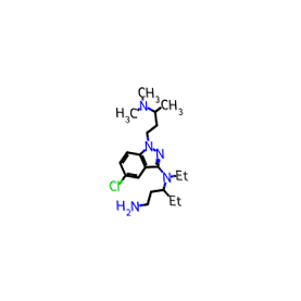 CCC(CCN)N(CC)c1nn(CCC(C)N(C)C)c2ccc(Cl)cc12